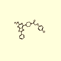 Nc1nc(N2CCN(C(=O)COc3ccc(Cl)cc3)CC2)c2nc(-c3ccccc3)oc2n1